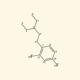 CCC(CC)CCc1ccc(F)cc1F